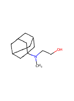 CN(CCO)C12CC3CC(CC(C3)C1)C2